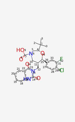 CC(C)(C)C1CN(C(=O)O)C[C@H](Cn2c(=O)[nH]c3ccccc3c2=O)[C@H](c2ccc(Cl)c(F)c2)O1